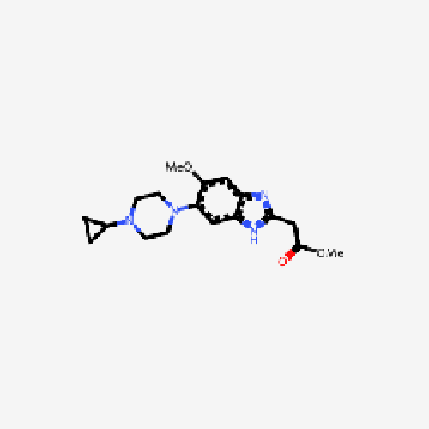 COC(=O)Cc1nc2cc(OC)c(N3CCN(C4CC4)CC3)cc2[nH]1